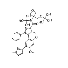 C/C=C\C(=C/C)n1nc(C(=O)N(C(O)(O)O)C2(COC(O)(O)O)COC2)c2c1-c1cc(-c3ccn(C)n3)c(OC)cc1OC2